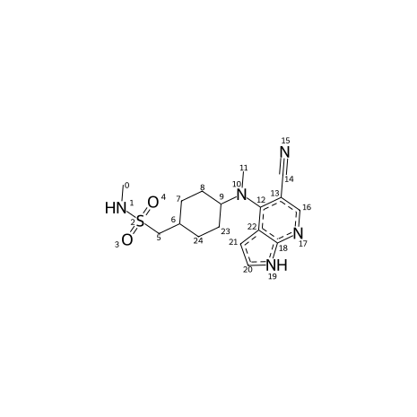 CNS(=O)(=O)CC1CCC(N(C)c2c(C#N)cnc3[nH]ccc23)CC1